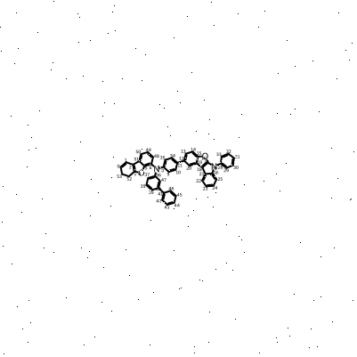 C1=Cc2c(oc3c(N(c4ccc(-c5ccc6oc7c(c6c5)c5ccccc5n7-c5ccccc5)cc4)c4cccc(-c5ccccc5)c4)cccc23)CC1